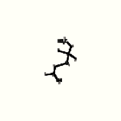 CC(O)COC(C)(C)CC(=O)O